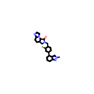 Cn1cc2c(-c3ccc(CN4Cc5ccc6nccn6c5C4=O)c(F)c3)cccc2n1